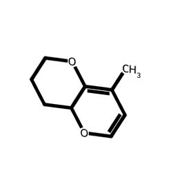 CC1=C2OCCCC2OC=C1